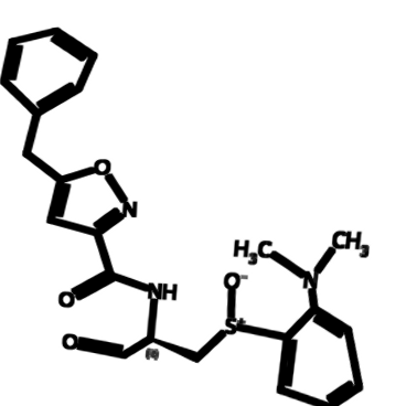 CN(C)c1ccccc1[S+]([O-])C[C@@H](C=O)NC(=O)c1cc(Cc2ccccc2)on1